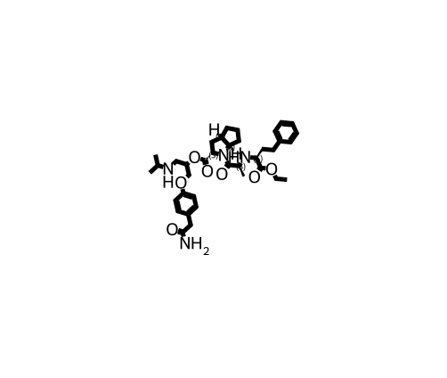 CCOC(=O)[C@H](CCc1ccccc1)N[C@@H](C)C(=O)N1[C@H](C(=O)OC(CNC(C)C)COc2ccc(CC(N)=O)cc2)C[C@@H]2CCC[C@@H]21